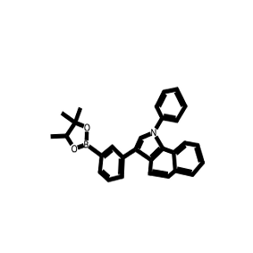 CC1OB(c2cccc(-c3cn(-c4ccccc4)c4c3ccc3ccccc34)c2)OC1(C)C